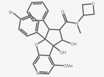 COc1cncc2c1C1(O)C(O)C(C(=O)N(C)C3COC3)C(c3ccccc3)C1(c1ccc(Br)cc1)O2